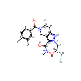 Cc1ccc(C(=O)N2Cc3c(nn4c3C(=O)N(C)O[C@@H](CF)C4)C[C@H]2C)cc1C